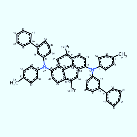 Cc1ccc(N(c2cccc(-c3ccccc3)c2)c2ccc3c(C(C)C)cc4c(N(c5ccc(C)cc5)c5cccc(-c6ccccc6)c5)ccc5c(C(C)C)cc2c3c54)cc1